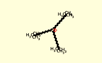 CC(C)(C)CCCCCCCCCCCC[Si]([O])(CCCCCCCCCCCCC(C)(C)C)CCCCCCCCCCCCC(C)(C)C